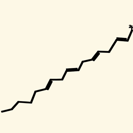 [2H]/C=C/CC=CCC=CCC=CCCCCC